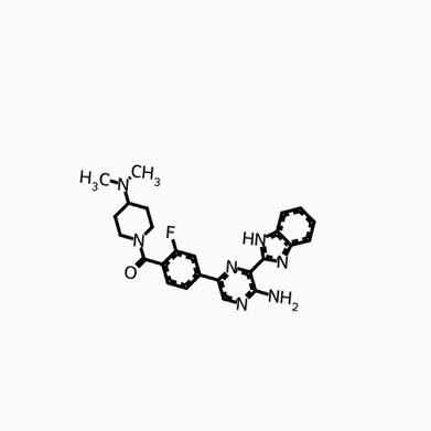 CN(C)C1CCN(C(=O)c2ccc(-c3cnc(N)c(-c4nc5ccccc5[nH]4)n3)cc2F)CC1